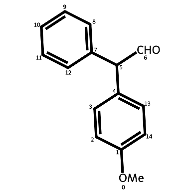 COc1ccc(C(C=O)c2ccccc2)cc1